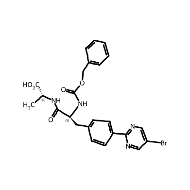 C[C@@H](NC(=O)[C@H](Cc1ccc(-c2ncc(Br)cn2)cc1)NC(=O)OCc1ccccc1)C(=O)O